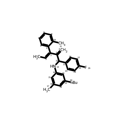 C=C(/C(=C/C)c1ccccc1C)C(Nc1cc(C)cc(CCCC)c1)c1ccc(F)cc1